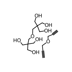 C#CCOCC#C.OCC(CO)(CO)COCC(CO)(CO)CO